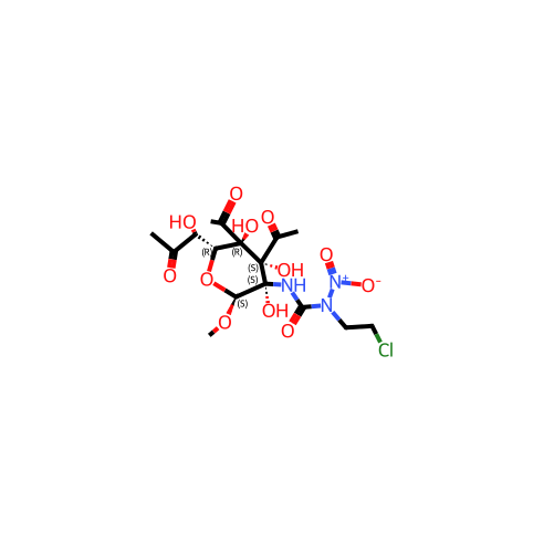 CO[C@H]1O[C@H](C(O)C(C)=O)[C@](O)(C(C)=O)[C@@](O)(C(C)=O)[C@@]1(O)NC(=O)N(CCCl)[N+](=O)[O-]